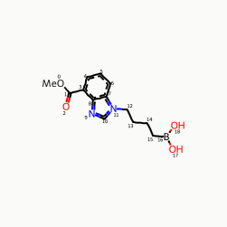 COC(=O)c1cccc2c1ncn2CCCCB(O)O